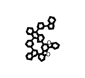 c1cc(-c2cccc3ccccc23)cc(-c2c3ccccc3c(-c3cccc(-c4cccc5ccccc45)c3)c3cc(-c4cc5c6ccccc6oc5c5c4oc4ccccc45)ccc23)c1